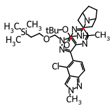 Cc1nc2c(-c3ccc4nn(C)cc4c3Cl)nn(COCC[Si](C)(C)C)c2nc1N1C2CCC1CC(NC(=O)OC(C)(C)C)C2